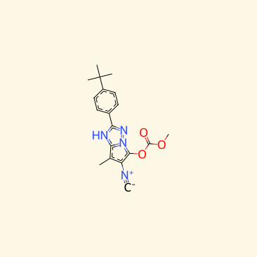 [C-]#[N+]c1c(C)c2[nH]c(-c3ccc(C(C)(C)C)cc3)nn2c1OC(=O)OC